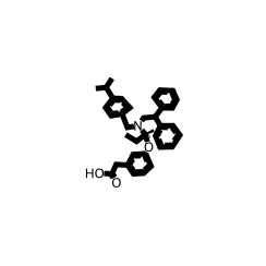 CC[C@@](C)(Oc1cccc(CC(=O)O)c1)N(Cc1ccc(C(C)C)cc1)CC(c1ccccc1)c1ccccc1